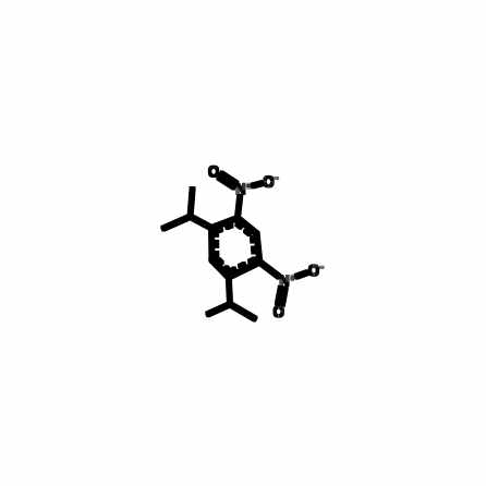 CC(C)c1cc(C(C)C)c([N+](=O)[O-])cc1[N+](=O)[O-]